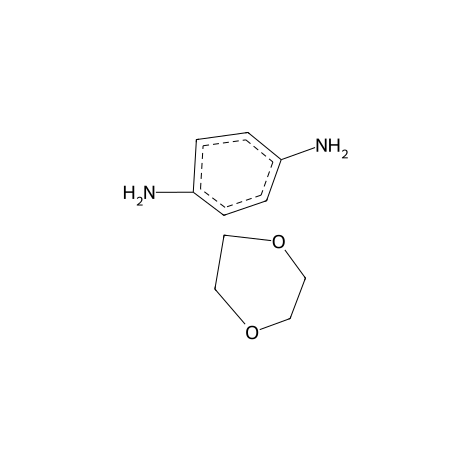 C1COCCO1.Nc1ccc(N)cc1